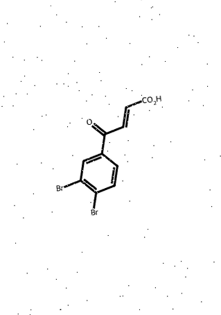 O=C(O)C=CC(=O)c1ccc(Br)c(Br)c1